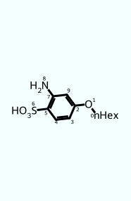 CCCCCCOc1ccc(S(=O)(=O)O)c(N)c1